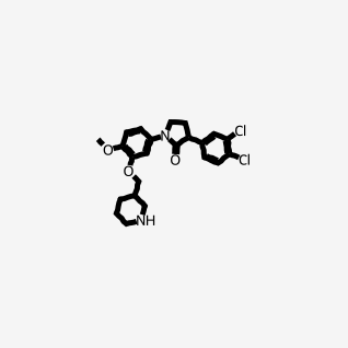 COc1ccc(N2CCC(c3ccc(Cl)c(Cl)c3)C2=O)cc1OCC1CCCNC1